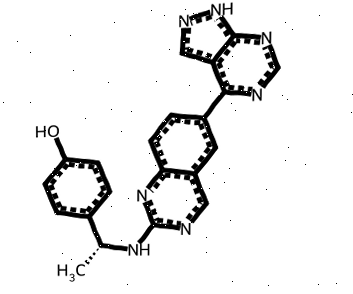 C[C@@H](Nc1ncc2cc(-c3ncnc4[nH]ncc34)ccc2n1)c1ccc(O)cc1